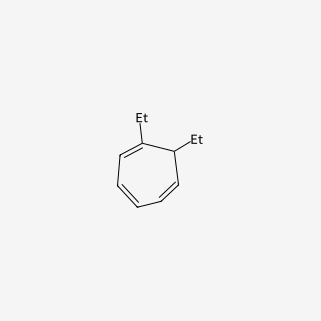 CCC1=CC=CC=CC1CC